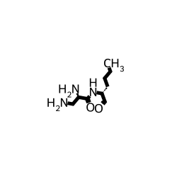 CCCC[C@H](C=O)NC(=O)[C@H](N)CN